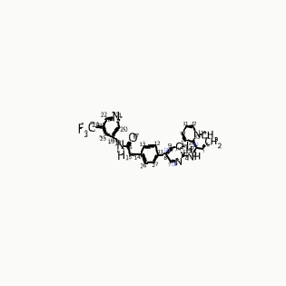 C=C/C(NC(=C)/N=C\C(=C/C)c1ccc(CC(=O)Nc2cncc(C(F)(F)F)c2)cc1)=C1/C=CC=CN1C